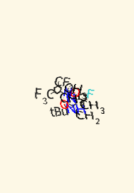 C=CC[C@]1(NC(=O)C(C)(C)C)CCN(C(=O)N(C)[C@H](C)c2cc(C(F)(F)F)cc(C(F)(F)F)c2)[C@@H](c2ccc(F)cc2C)C1